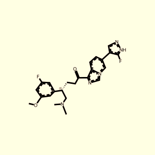 COc1cc(F)cc([C@H](CCC(=O)c2ncn3cc(-c4cn[nH]c4F)ccc23)CN(C)C)c1